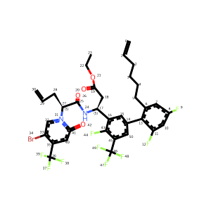 C=CCCCCc1cc(F)cc(F)c1-c1cc([C@H](CC(=O)OCC)NC(=O)[C@H](CC=C)n2cc(Br)c(C(F)(F)F)cc2=O)c(F)c(C(F)(F)F)c1